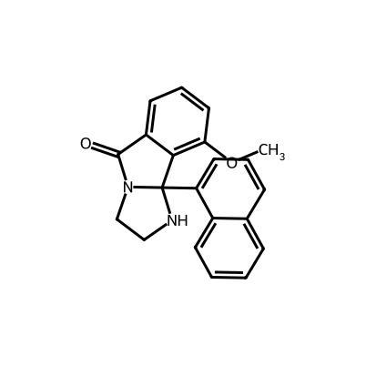 COc1cccc2c1C1(c3cccc4ccccc34)NCCN1C2=O